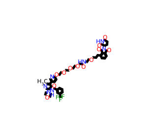 CC1=C(c2ccc(OCCOCCOCCOCC(=O)NCCOCCCc3cccc4c3C(=O)N(C3CCC(=O)NC3=O)C4=O)nc2)CC(NC(=O)c2cccc(C(F)(F)F)c2)(N2CCOCC2)C=N1